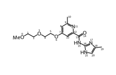 COCCOCCOc1cc(C)nc(C(=O)Nc2nc(C)c[nH]2)c1